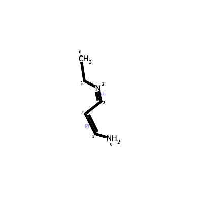 CC/N=C\C=C/N